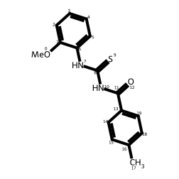 COc1ccccc1NC(=S)NC(=O)c1ccc(C)cc1